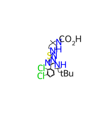 CC(C)(C)CC(C)(C)Nc1c(-c2cccc(Cl)c2Cl)nc2sc(N3CCC(C)(CNC(=O)O)CC3)nn12